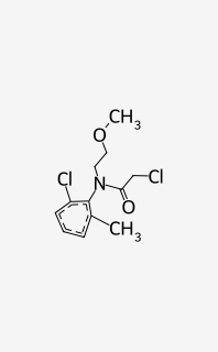 COCCN(C(=O)CCl)c1c(C)cccc1Cl